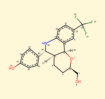 OC[C@H]1CC[C@@H]2[C@H](O1)c1cc(C(F)(F)F)ccc1N[C@H]2c1ccc(O)cc1